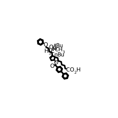 CCCC[C@@]1(CCCCCCC(=O)O)C(CCC(COc2ccccc2)O[Si](C)(C)C(C)(C)C)=CC[C@@H]1OC(=O)c1ccc(-c2ccccc2)cc1